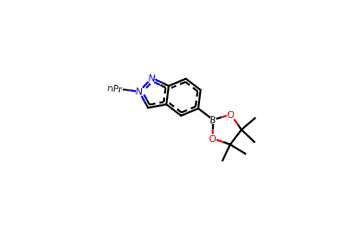 CCCn1cc2cc(B3OC(C)(C)C(C)(C)O3)ccc2n1